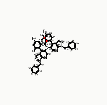 Cc1cc(F)ccc1-c1c(N(C(=O)OC(C)(C)C)c2cnc3c(cnn3Cc3ccccc3)c2-c2ccc(F)cc2C)cnc2c1cnn2Cc1ccccc1